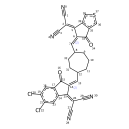 N#CC(C#N)=C1/C(=C/C2CCCC(/C=C3\C(=O)c4cc(Cl)c(Cl)cc4C3=C(C#N)C#N)CC2)C(=O)c2cscc21